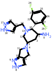 NC1CC(N2Cc3c[nH]nc3C2)CN(Cc2cn[nH]c2)[C@@H]1C1CC(F)=CC=C1F